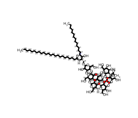 CCCCCCCCCCCCC/C=C/[C@@H](O)[C@H](CO[C@@H]1OC(CO)[C@@H](O[C@@H]2OC(CO)[C@H](O[C@@H]3OC(CO)[C@H](O)[C@H](O[C@@H]4OC(CO)[C@H](O)[C@H](O[C@@H]5OC(CO)[C@H](O)[C@H](O[C@H]6OC(CO)[C@H](O)[C@H](O)C6NC(C)=O)C5O[C@H]5OC(C)[C@@H](O)C(O)[C@@H]5O)C4NC(C)=O)C3O)[C@H](O)C2O)[C@H](O)C1O)NC(=O)CCCCCCCCCCCCCCCCCCCCCCC